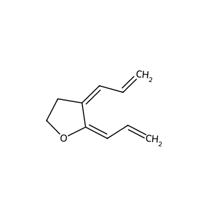 C=C/C=C1/CCO/C1=C/C=C